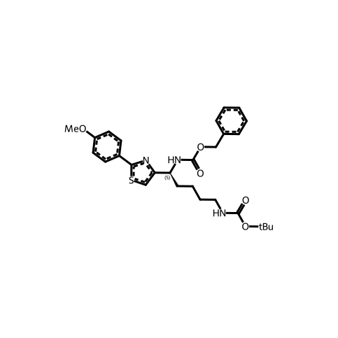 COc1ccc(-c2nc([C@H](CCCCNC(=O)OC(C)(C)C)NC(=O)OCc3ccccc3)cs2)cc1